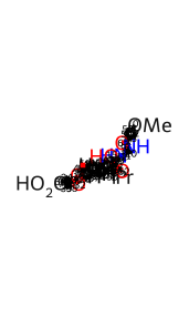 COc1ccc(C(=O)NC(C)(C)CNC[C@H](O)[C@@]23CC[C@]4(C)[C@H](CC[C@@H]5[C@@]6(C)CC[C@H](OC(=O)[C@H]7C[C@@H](C(=O)O)C7(C)C)C(C)(C)[C@@H]6CC[C@]54C)C2=C(C(C)C)C(=O)C3)cc1